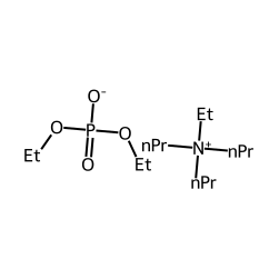 CCC[N+](CC)(CCC)CCC.CCOP(=O)([O-])OCC